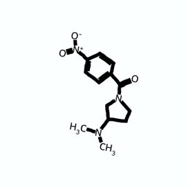 CN(C)C1CCN(C(=O)c2ccc([N+](=O)[O-])cc2)C1